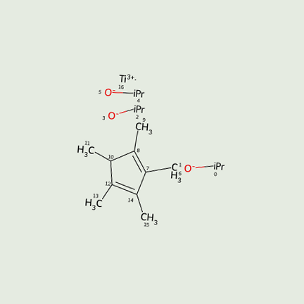 CC(C)[O-].CC(C)[O-].CC(C)[O-].CC1=C(C)C(C)C(C)=C1C.[Ti+3]